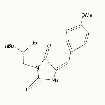 CCCCC(CC)CN1C(=O)NC(=Cc2ccc(OC)cc2)C1=O